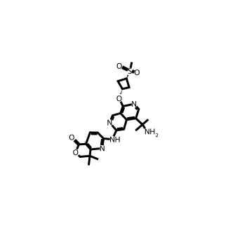 CC(C)(N)c1cnc(O[C@H]2C[C@@H](S(C)(=O)=O)C2)c2cnc(Nc3ccc4c(n3)C(C)(C)COC4=O)cc12